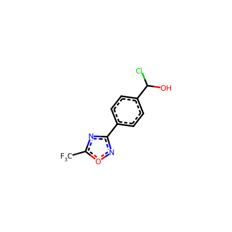 OC(Cl)c1ccc(-c2noc(C(F)(F)F)n2)cc1